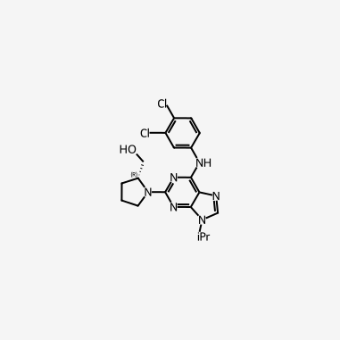 CC(C)n1cnc2c(Nc3ccc(Cl)c(Cl)c3)nc(N3CCC[C@@H]3CO)nc21